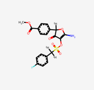 [2H]C1(c2ccc(C(=O)OC)cc2)OC(N)=C(OS(=O)(=O)C([2H])([2H])c2ccc(F)cc2)C1=O